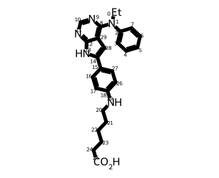 CCN(c1ccccc1)c1ncnc2[nH]c(-c3ccc(NCCCCCC(=O)O)cc3)cc12